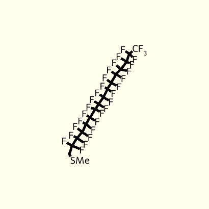 CSCC(F)(F)C(F)(F)C(F)(F)C(F)(F)C(F)(F)C(F)(F)C(F)(F)C(F)(F)C(F)(F)C(F)(F)C(F)(F)C(F)(F)C(F)(F)C(F)(F)C(F)(F)F